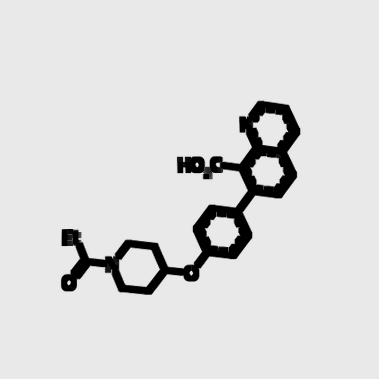 CCC(=O)N1CCC(Oc2ccc(-c3ccc4cccnc4c3C(=O)O)cc2)CC1